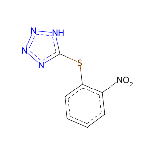 O=[N+]([O-])c1ccccc1Sc1nnn[nH]1